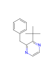 CC(C)(C)c1nccnc1Cc1ccccc1